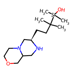 CC(C)(CC[C@@H]1CN2CCOCC2CN1)[Si](C)(C)O